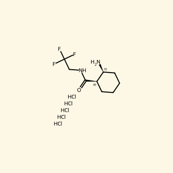 Cl.Cl.Cl.Cl.Cl.N[C@H]1CCCC[C@H]1C(=O)NCC(F)(F)F